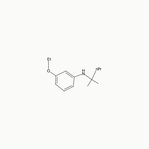 CCCC(C)(C)Nc1cccc(OCC)c1